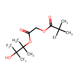 CCC(C)(C)C(=O)OCC(=O)OC(C)(C)C(O)(C(F)(F)F)C(F)(F)F